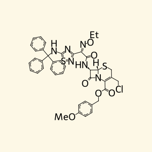 CCO/N=C(\C(=O)N[C@@H]1C(=O)N2C(C(=O)OCc3ccc(OC)cc3)=C(CCl)CS[C@@H]12)c1nsc(NC(c2ccccc2)(c2ccccc2)c2ccccc2)n1